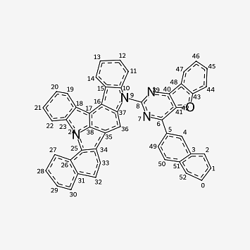 c1ccc2cc(-c3nc(-n4c5ccccc5c5c6c7ccccc7n7c8c9ccccc9ccc8c(cc54)c67)nc4c3oc3ccccc34)ccc2c1